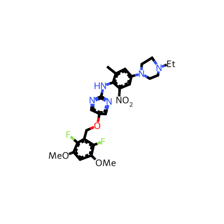 CCN1CCN(c2cc(C)c(Nc3ncc(OCc4c(F)c(OC)cc(OC)c4F)cn3)c([N+](=O)[O-])c2)CC1